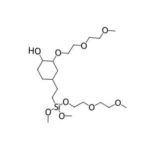 COCCOCCOC1CC(CC[Si](OC)(OC)OCCOCCOC)CCC1O